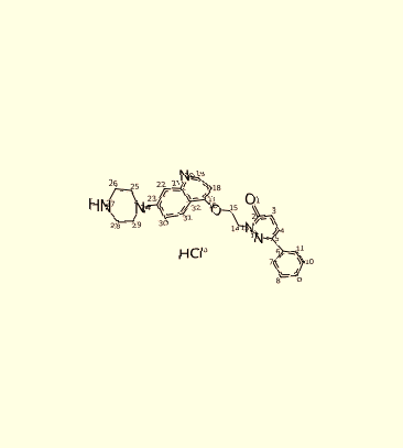 Cl.O=c1ccc(-c2ccccc2)nn1CCOc1ccnc2cc(N3CCNCC3)ccc12